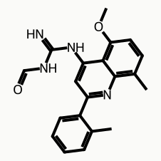 COc1ccc(C)c2nc(-c3ccccc3C)cc(NC(=N)NC=O)c12